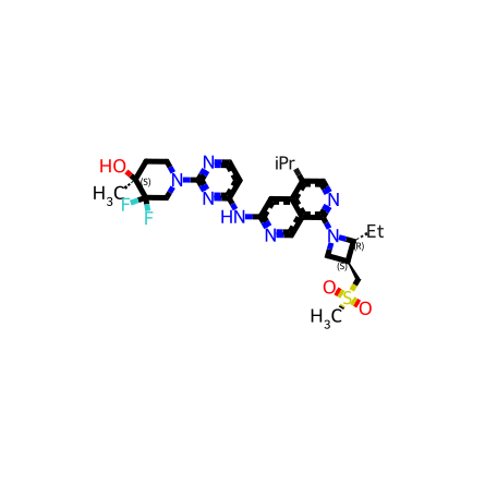 CC[C@@H]1[C@@H](CS(C)(=O)=O)CN1c1ncc(C(C)C)c2cc(Nc3ccnc(N4CC[C@](C)(O)C(F)(F)C4)n3)ncc12